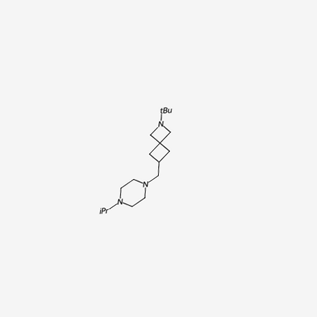 CC(C)N1CCN(CC2CC3(C2)CN(C(C)(C)C)C3)CC1